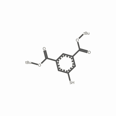 CC(C)(C)OC(=O)c1cc(S)cc(C(=O)OC(C)(C)C)c1